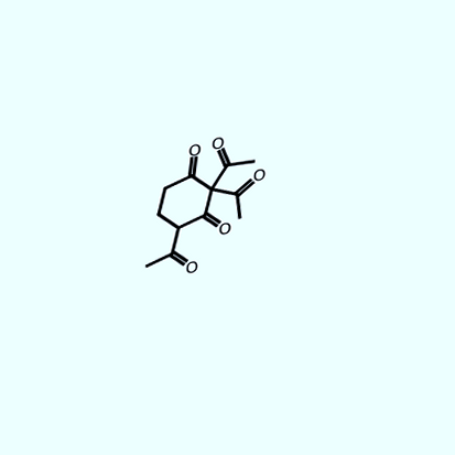 CC(=O)C1CCC(=O)C(C(C)=O)(C(C)=O)C1=O